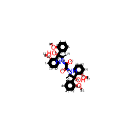 COc1ccccc1C(O)(c1ccccc1OC)[C@@H](C)NC(=O)C(=O)N[C@H](C)C(O)(c1ccccc1OC)c1ccccc1OC